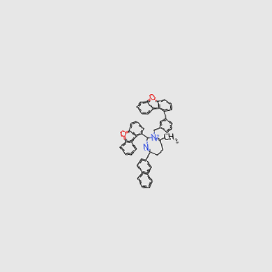 CC1=[N+](Cc2cccc(-c3cccc4oc5ccccc5c34)c2)C(c2cccc3oc4ccccc4c23)N=C(c2ccc3ccccc3c2)CC1